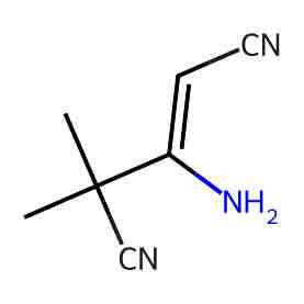 CC(C)(C#N)/C(N)=C/C#N